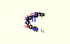 CN1CCN(c2ccc(C(=O)C3CCN(C(=O)c4ccc(C(=O)Nc5ccc(Cc6ccc(F)cc6)nc5)cn4)CC3)cc2)CC1